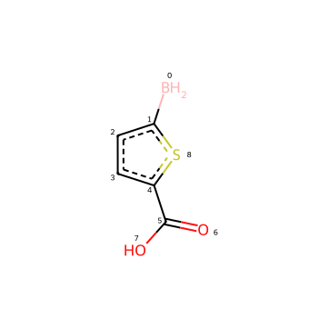 Bc1ccc(C(=O)O)s1